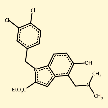 CCOC(=O)c1cc2c(CN(C)C)c(O)ccc2n1Cc1ccc(Cl)c(Cl)c1